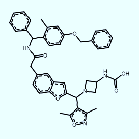 Cc1cc(OCc2ccccc2)ccc1C(NC(=O)Cc1ccc2oc(C(c3c(C)noc3C)N3CC(NC(=O)O)C3)cc2c1)c1ccccc1